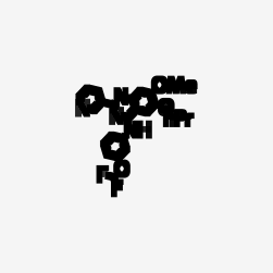 CCCOc1cc2c(Nc3cccc(OC(F)F)c3)nc(-c3cccnc3)nc2cc1OC